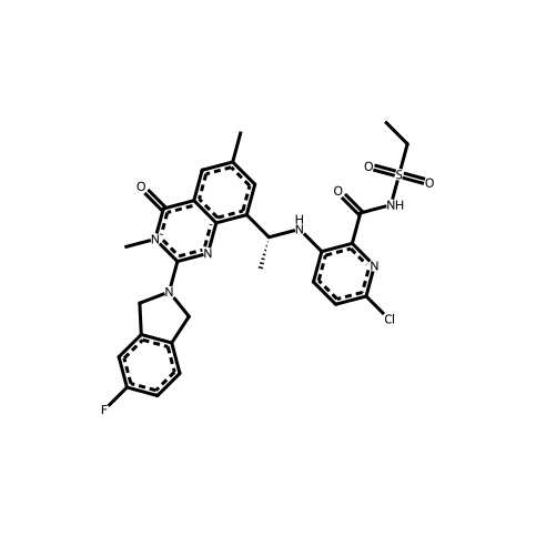 CCS(=O)(=O)NC(=O)c1nc(Cl)ccc1N[C@H](C)c1cc(C)cc2c(=O)n(C)c(N3Cc4ccc(F)cc4C3)nc12